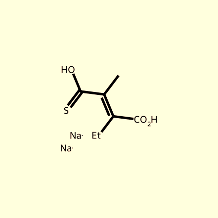 CCC(C(=O)O)=C(C)C(O)=S.[Na].[Na]